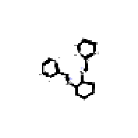 C(=N\C1CCCCC1/N=C/c1ncccn1)/c1ncccn1